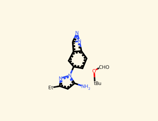 CC(C)(C)OC=O.CCc1cc(N)n(-c2ccc3c(c2)c2nn3-2)n1